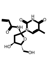 C=CC(=O)N[C@]1(n2cc(C)c(=O)[nH]c2=O)C[C@H](O)[C@@H](CO)O1